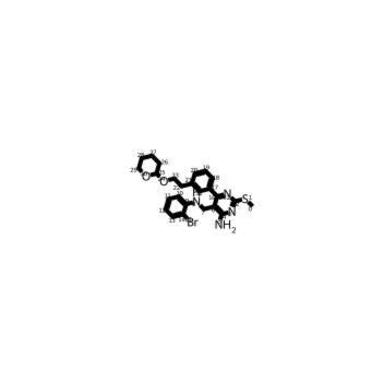 CSc1nc(N)c(CNc2ccccc2Br)c(-c2cccc(CCOC3CCCCO3)c2)n1